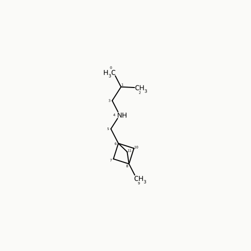 CC(C)CNCC12CC(C)(C1)C2